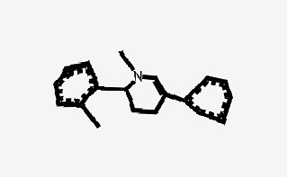 Cc1ccccc1C1CCC(c2ccccc2)=CN1C